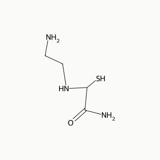 NCCNC(S)C(N)=O